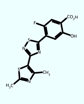 Cc1nc(C)c(-c2nsc(-c3cc(O)c(C(=O)O)cc3F)n2)s1